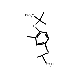 CCOC(=O)C(C)(C)Oc1ccc(OC(C)C(=O)O)cc1C